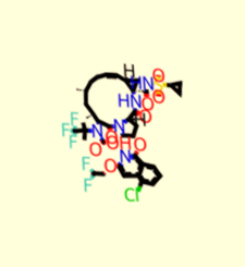 C[C@@H]1CCC=C[C@@H]2C[C@@]2(C(=O)NS(=O)(=O)C2CC2)NC(=O)[C@@H]2C[C@@H](Oc3nc(OCC(F)F)cc4c(Cl)cccc34)CN2C(=O)[C@@H](N(C(=O)O)C(C)(C)C(F)(F)F)[C@H](C)C1